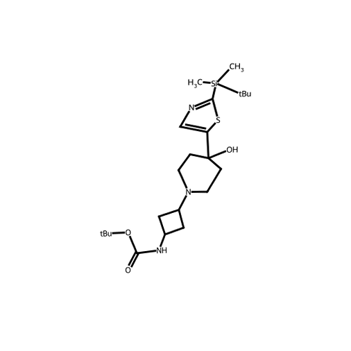 CC(C)(C)OC(=O)NC1CC(N2CCC(O)(c3cnc([Si](C)(C)C(C)(C)C)s3)CC2)C1